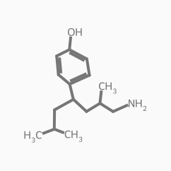 CC(C)CC(CC(C)CN)c1ccc(O)cc1